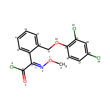 CO/N=C(/C(=O)Cl)c1ccccc1COc1ccc(Cl)cc1Cl